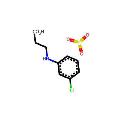 O=C(O)CCNc1cccc(Cl)c1.O=S(=O)=O